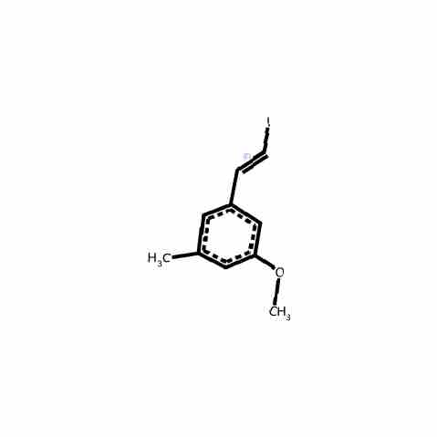 COc1cc(C)cc(/C=C/I)c1